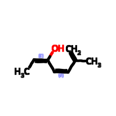 C=C(C)/C=C\C(O)=C/C